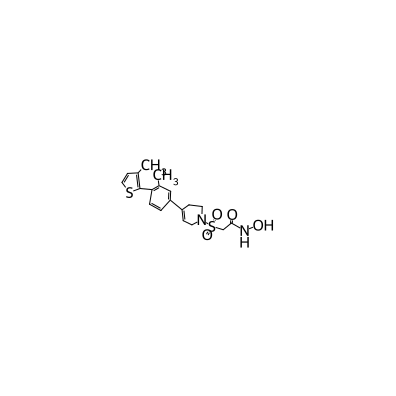 Cc1cc(C2=CCN(S(=O)(=O)CC(=O)NO)CC2)ccc1-c1sccc1C